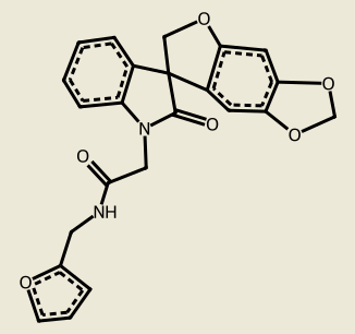 O=C(CN1C(=O)C2(COc3cc4c(cc32)OCO4)c2ccccc21)NCc1ccco1